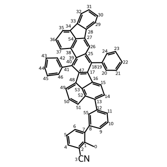 Cc1c(C#N)cccc1-c1cccc(-c2ccc3c4c(-c5ccccc5)c5cc6c7ccccc7c7cccc(c5c(-c5ccccc5)c4c4cccc2c34)c76)c1